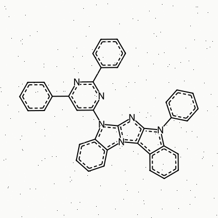 c1ccc(-c2cc(-n3c4ccccc4n4c5c6ccccc6n(-c6ccccc6)c5nc34)nc(-c3ccccc3)n2)cc1